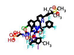 C[C@@H]1[C@H](I)c2c(C(F)(F)F)nn(CC(=O)N[C@@H](Cc3cc(F)cc(F)c3)c3nc(C#CC(C)(C)S(C)(=O)=O)ccc3-c3ccc(Cl)c4c(N(C(=O)NCCP(=O)(O)O)S(C)(=O)=O)nn(CC(F)(F)F)c34)c2C1(F)F